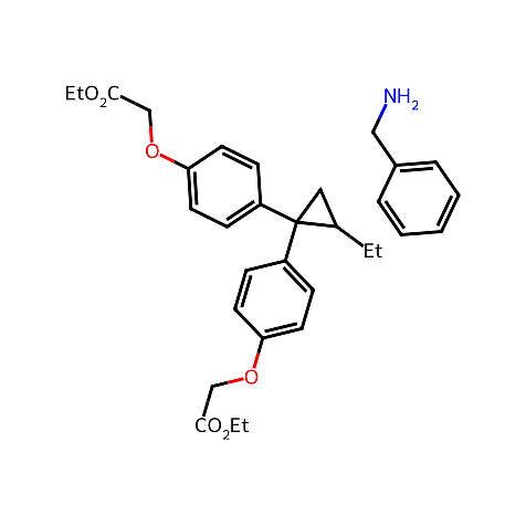 CCOC(=O)COc1ccc(C2(c3ccc(OCC(=O)OCC)cc3)CC2CC)cc1.NCc1ccccc1